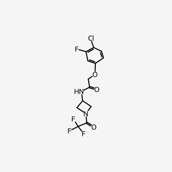 O=C(COc1ccc(Cl)c(F)c1)NC1CN(C(=O)C(F)(F)F)C1